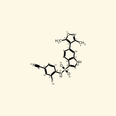 Cc1noc(C)c1-c1ccc2c(S(=O)(=O)Nc3ccc(C#N)cc3F)c[nH]c2c1